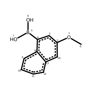 COc1cc(B(O)O)c2ccccc2c1